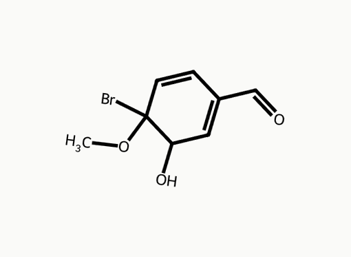 COC1(Br)C=CC(C=O)=CC1O